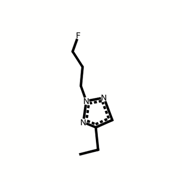 CCc1cnn(CCCF)n1